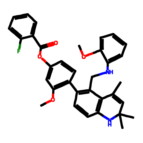 COc1ccccc1NCc1c(-c2ccc(OC(=O)c3ccccc3F)cc2OC)ccc2c1C(C)=CC(C)(C)N2